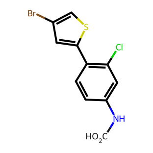 O=C(O)Nc1ccc(-c2cc(Br)cs2)c(Cl)c1